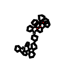 c1ccc(-c2ccc(-c3ccccc3N(c3ccc(-c4ccc5c(c4)C4(c6ccccc6-5)c5ccccc5-n5c6ccccc6c6cccc4c65)cc3)c3ccc4c(c3)C(c3ccccc3)(c3ccccc3)c3ccccc3-4)cc2)cc1